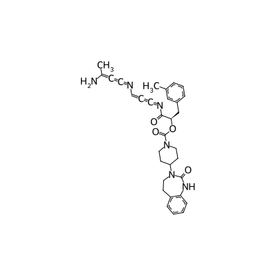 CC(N)=C=C=NC=C=C=NC(=O)[C@@H](Cc1cccc(C)c1)OC(=O)N1CCC(N2CCc3ccccc3NC2=O)CC1